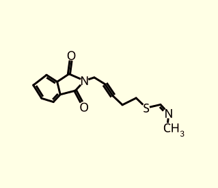 C/N=C\SCCC#CCN1C(=O)c2ccccc2C1=O